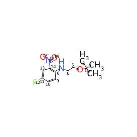 CC(C)(C)OCCNc1ccc(F)cc1[N+](=O)[O-]